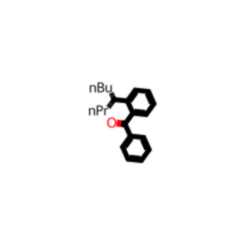 CCCCC(CCC)c1ccccc1C(=O)c1ccccc1